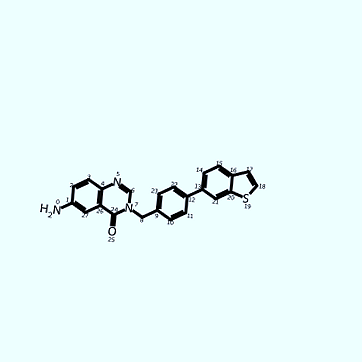 Nc1ccc2ncn(Cc3ccc(-c4ccc5ccsc5c4)cc3)c(=O)c2c1